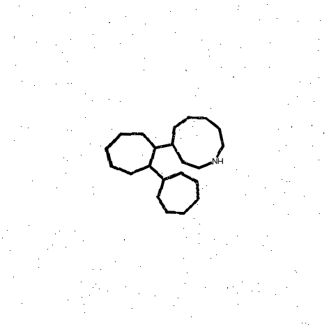 C1CCCC(C2CCCCCC2C2CCCCCNCC2)CC1